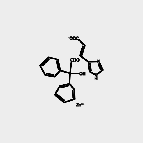 O=C([O-])C(O)(c1ccccc1)c1ccccc1.O=C([O-])C=Cc1c[nH]cn1.[Zn+2]